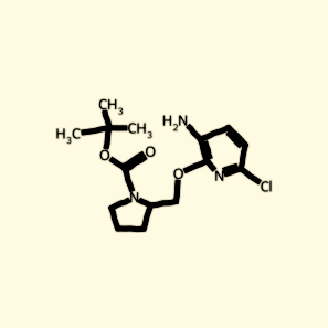 CC(C)(C)OC(=O)N1CCCC1COc1nc(Cl)ccc1N